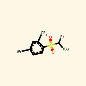 CCC(C(C)(C)C)S(=O)(=O)c1ccc(C(C)C)cc1C(F)(F)F